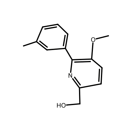 COc1ccc(CO)nc1-c1cccc(C)c1